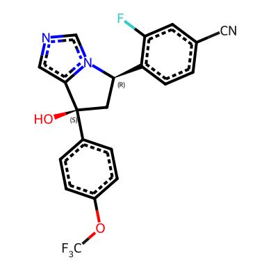 N#Cc1ccc([C@H]2C[C@](O)(c3ccc(OC(F)(F)F)cc3)c3cncn32)c(F)c1